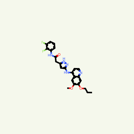 C[CH]COc1cc2nccc(Nc3cc(CC(=O)Nc4cccc(F)c4F)[nH]n3)c2cc1OC